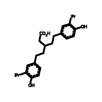 CC(C)c1cc(CCC(CCc2ccc(O)c(C(C)C)c2)CC(=O)O)ccc1O